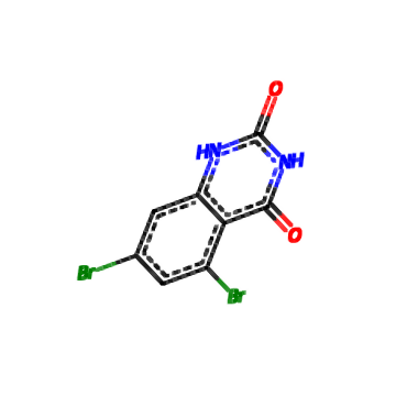 O=c1[nH]c(=O)c2c(Br)cc(Br)cc2[nH]1